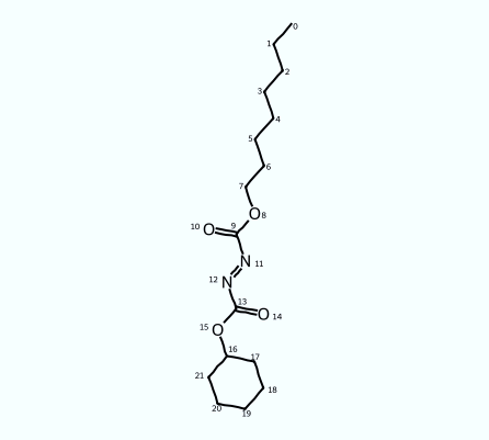 CCCCCCCCOC(=O)/N=N/C(=O)OC1CCCCC1